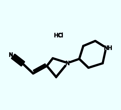 Cl.N#CC=C1CN(C2CCNCC2)C1